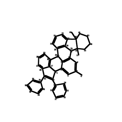 Cc1cc2c3c(c1)-n1c(-c4ccccc4)c(-c4ccccc4)c4cccc(c41)B3c1cccc3c1N2C1(C)CCCCC31C